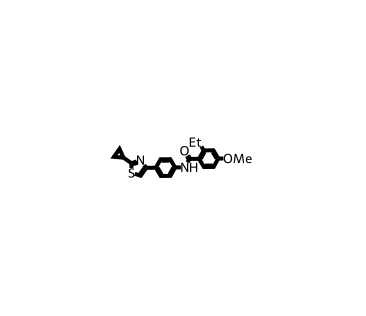 CCc1cc(OC)ccc1C(=O)Nc1ccc(-c2csc(C3CC3)n2)cc1